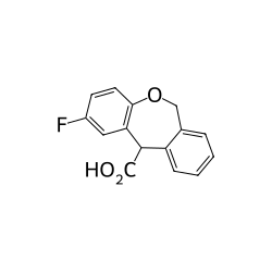 O=C(O)C1c2ccccc2COc2ccc(F)cc21